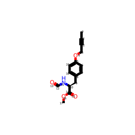 CC#CCOc1ccc(C[C@H](NC=O)C(=O)OC)cc1